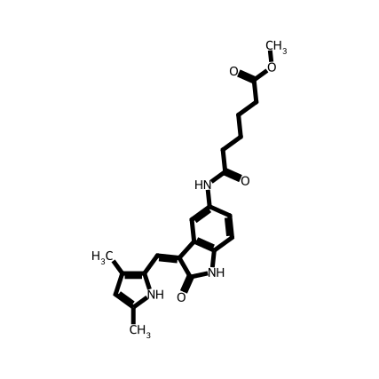 COC(=O)CCCCC(=O)Nc1ccc2c(c1)/C(=C/c1[nH]c(C)cc1C)C(=O)N2